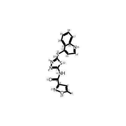 Cc1cc(C(=O)Nc2nnc(Sc3ccnc4ccccc34)s2)no1